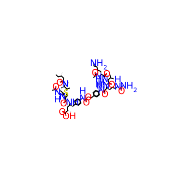 CC[C@H](C)CC(=O)N(C)[C@H](C[C@@H](NC(C)=O)c1nc(C(=O)N[C@@H](Cc2ccc(NC(=O)OCc3ccc(NC(=O)[C@H](CCCNC(N)=O)NC(=O)[C@@H](NC(=O)[C@H](CCCCN)NC(C)=O)C(C)C)cc3)cc2)C[C@H](C)C(=O)O)cs1)C(C)C